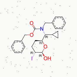 O=C(OCc1ccccc1)N(Cc1ccccc1)[C@H](C1CC1)[C@@H]1CC[C@@H](I)[C@H](O)O1